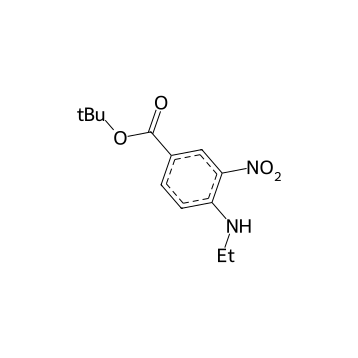 CCNc1ccc(C(=O)OC(C)(C)C)cc1[N+](=O)[O-]